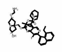 CCc1cccc2cccc(-c3ncc4c(N5CC6CCC(C5)N6C(=O)OC(C)(C)C)nc(OC[C@@]56C[C@H](O)CN5C[C@H](OCN)C6)nc4c3F)c12